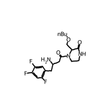 CCCCOCC1C(=O)NCCN1C(=O)CC(N)Cc1cc(F)c(F)cc1F